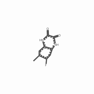 Cc1cc2[nH]c(=O)c(=O)[nH]c2cc1F